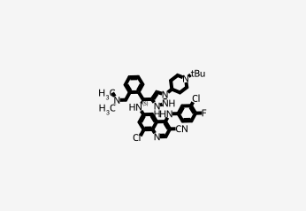 CN(C)Cc1ccccc1[C@H](Nc1cc(Cl)c2ncc(C#N)c(Nc3ccc(F)c(Cl)c3)c2c1)C1=CN(C2CCN(C(C)(C)C)CC2)NN1